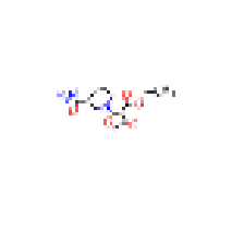 CCOC(=O)C1=C(N2CCCC(C(N)=O)C2)OCC1=O